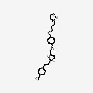 Clc1ccc(C=Cc2nc(CNc3ccc(OCCCn4ccnn4)cc3)co2)cc1